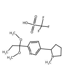 CCC(OC)(OC)c1ccc(C2CCCN2C)cn1.O=S(=O)(O)C(F)(F)F